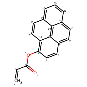 C=CC(=O)Oc1ccc2ccc3cccc4ccc1c2c34